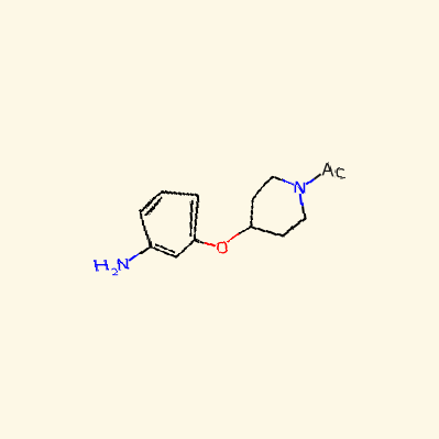 CC(=O)N1CCC(Oc2cccc(N)c2)CC1